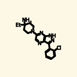 CCC1(N)CCN(c2cnc3c(-c4ccccc4Cl)n[nH]c3n2)CC1